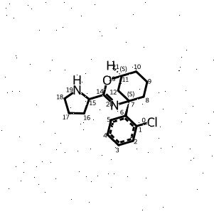 Clc1ccccc1[C@]12CCC[C@@H](C1)OC(C1CCCN1)=N2